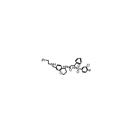 CC(C)CCNCc1ccc2c(c1)OCCC2NC(=O)CC(NS(=O)(=O)c1ccc(F)c(Cl)c1)c1ccccc1